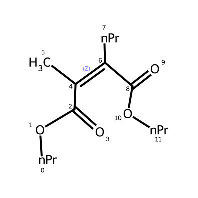 CCCOC(=O)/C(C)=C(/CCC)C(=O)OCCC